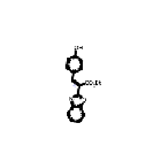 CCOC(=O)/C(=C\c1ccc(O)cc1)c1nc2ccccc2o1